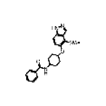 CSc1c(OC2CCC(NC(=O)c3ccccc3)CC2)ccc2[nH]ncc12